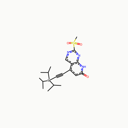 CC(C)[Si](C#Cc1cc(=O)[nH]c2nc(S(C)(=O)=O)ncc12)(C(C)C)C(C)C